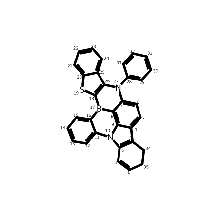 C1=Cc2c(c3ccc4c5c3n2-c2ccccc2B5c2sc3ccccc3c2N4c2ccccc2)CC1